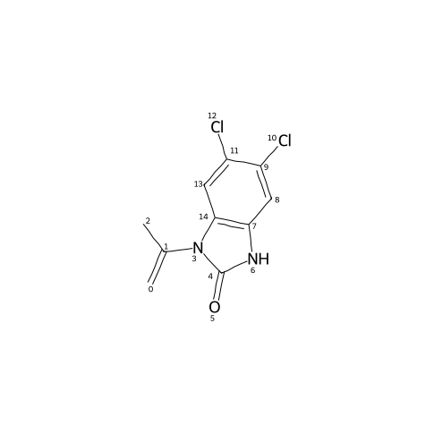 C=C(C)n1c(=O)[nH]c2cc(Cl)c(Cl)cc21